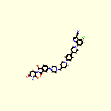 N#Cc1c[nH]c2c(N3CCC(c4ccc(N5CCC(CN6CCN(c7ccc8c(c7)C(=O)N(C7CCC(=O)NC7=O)C8=O)CC6)CC5)cc4)CC3)ccc(Cl)c12